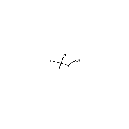 N#C[CH]C(Cl)(Cl)Cl